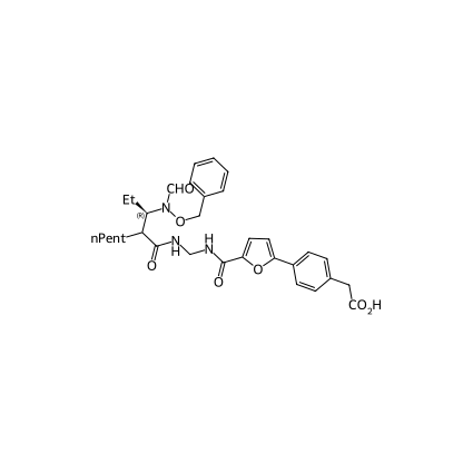 CCCCCC(C(=O)NCNC(=O)c1ccc(-c2ccc(CC(=O)O)cc2)o1)[C@@H](CC)N(C=O)OCc1ccccc1